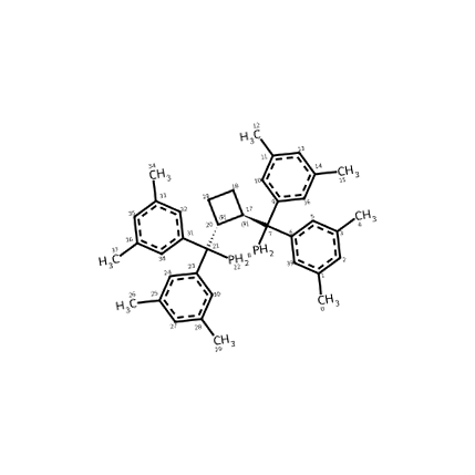 Cc1cc(C)cc(C(P)(c2cc(C)cc(C)c2)[C@@H]2CC[C@H]2C(P)(c2cc(C)cc(C)c2)c2cc(C)cc(C)c2)c1